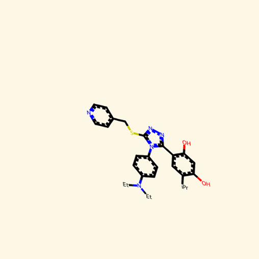 CCN(CC)c1ccc(-n2c(SCc3ccncc3)nnc2-c2cc(C(C)C)c(O)cc2O)cc1